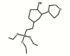 CCO[Si](CCC1CCC(O)C(N2CCOCC2)C1)(OCC)OCC